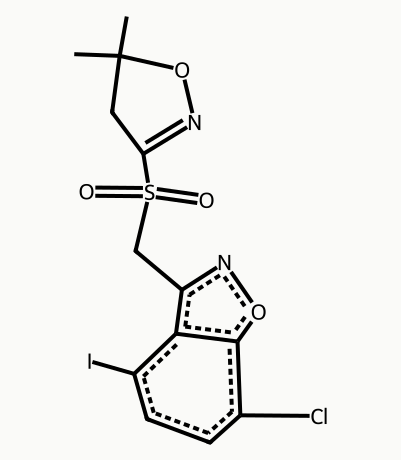 CC1(C)CC(S(=O)(=O)Cc2noc3c(Cl)ccc(I)c23)=NO1